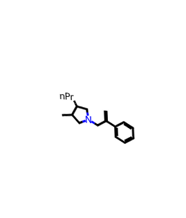 C=C(CN1CC(C)C(CCC)C1)c1ccccc1